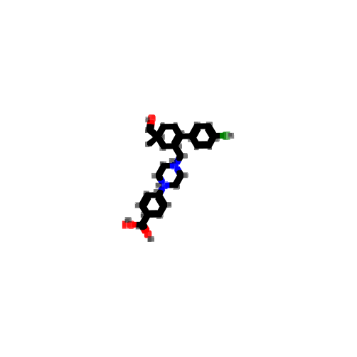 C[C@@]1(C=O)CCC(c2ccc(Cl)cc2)=C(CN2CCN(c3ccc(C(=O)O)cc3)CC2)C1